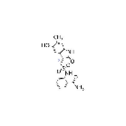 Cc1cc2c(cc1O)/C(=C/S(=O)(=O)Nc1ccccc1C(N)=O)C(=O)N2